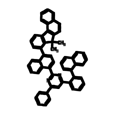 CC1(C)c2ccc3ccccc3c2-c2cccc(-c3ccc(-c4nc(-c5ccccc5)cc(-c5ccccc5-c5cccc6ccccc56)n4)c4ccccc34)c21